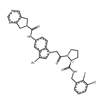 CC(=O)c1cn(CC(=O)N2CCC[C@H]2C(=O)NCc2cccc(Cl)c2F)c2ccc(NC(=O)N3Cc4cncnc4C3)cc12